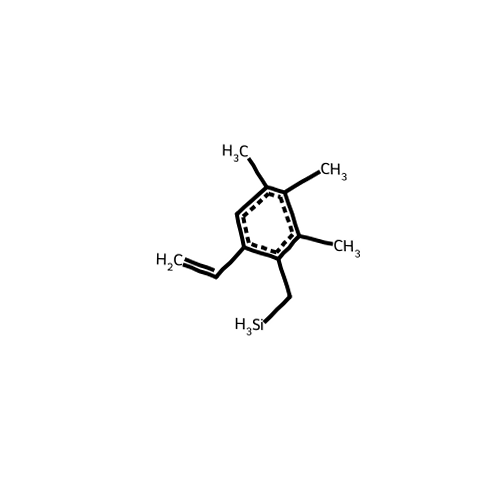 C=Cc1cc(C)c(C)c(C)c1C[SiH3]